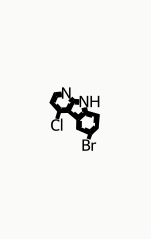 Clc1ccnc2[nH]c3ccc(Br)cc3c12